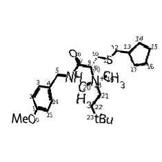 COc1ccc(CNC(=O)[C@H](CSCC2CCCC2)[N+](C)(C)CCC(C)(C)C)cc1